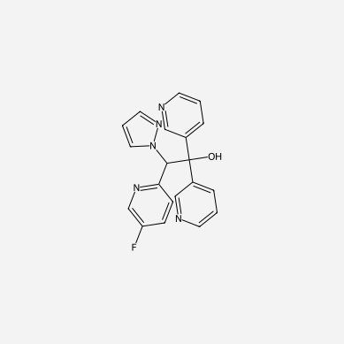 OC(c1cccnc1)(c1cccnc1)C(c1ccc(F)cn1)n1cccn1